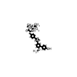 CCOC(=O)[C@H](Cc1ccc(-c2noc(-c3ccc(OC)c(-c4ccc(O)cc4)c3)n2)cc1)NC(=O)OC(C)(C)C